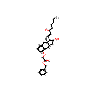 CCCCC[C@H](O)/C=C/[C@H]1[C@H](O)CC2Cc3c(cccc3OCC(=O)OCc3ccccc3)C[C@@H]21